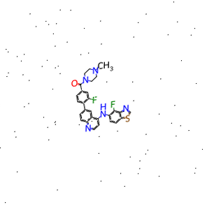 CN1CCN(C(=O)c2ccc(-c3ccc4nccc(Nc5ccc6scnc6c5F)c4c3)c(F)c2)CC1